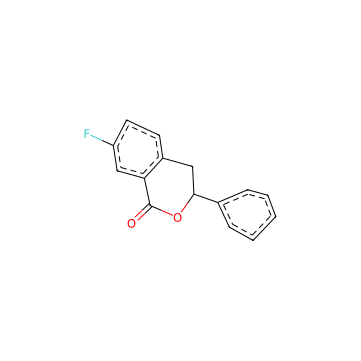 O=C1OC(c2ccccc2)Cc2ccc(F)cc21